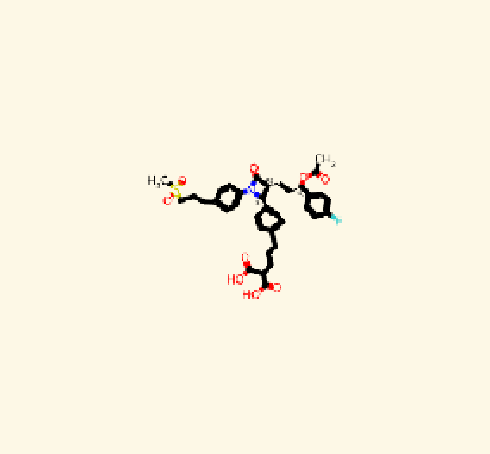 CC(=O)O[C@@H](CC[C@H]1C(=O)N(c2ccc(CCCS(C)(=O)=O)cc2)[C@@H]1c1ccc(CCCC(C(=O)O)C(=O)O)cc1)c1ccc(F)cc1